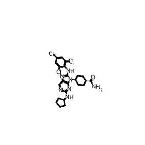 NC(=O)[C@H]1CC[C@@H](n2c(Nc3c(Cl)cc(Cl)cc3Cl)nc3cnc(NC4CCCC4)nc32)CC1